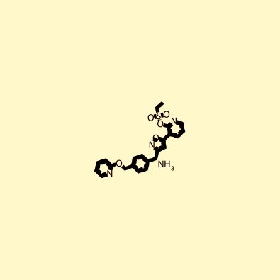 CCS(=O)(=O)Oc1ncccc1-c1cc(Cc2ccc(COc3ccccn3)cc2)no1.N